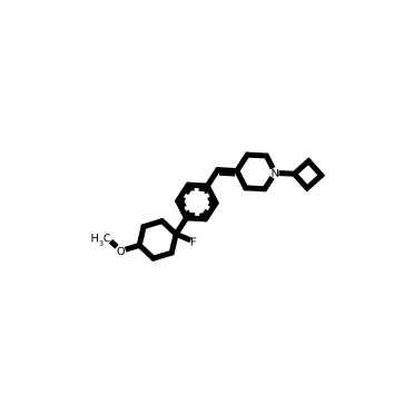 COC1CCC(F)(c2ccc(C=C3CCN(C4CCC4)CC3)cc2)CC1